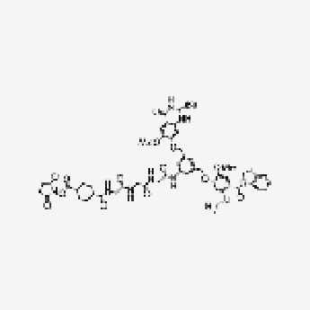 C=Nc1cc(OCc2cc(COc3cc4c(cc3OC)C(=O)NC([C@@H](C)CC)N4)cc(NC(=O)CNC(=O)CNC(=O)CNC(=O)C3CCC(C(=O)ON4C(=O)CCC4=O)CC3)c2)c(OC)cc1C(=O)N1CCc2ccccc21